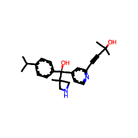 CC(C)c1ccc([C@](O)(c2ccnc(C#CC(C)(C)O)c2)C2(C)CNC2)cc1